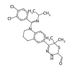 CC(C)N=C(c1ccc(Cl)c(Cl)c1)N1CCCc2cc(C3=NNC(C=O)SC3(C)C)ccc21